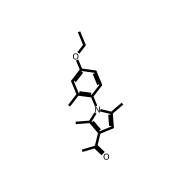 CCOc1ccc(-n2c(C)cc(C(C)=O)c2C)c(C)c1